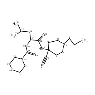 CCCN1CCC(C#N)(NC(=O)C(CC(C)C)NC(=O)N2CCOCC2)CC1